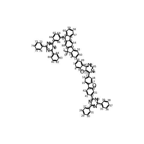 CC1(C)c2cc(-c3ccc4oc5c(-c6ccc7c(c6)oc6cc(-c8nc(-c9ccccc9)nc(-c9ccccc9)n8)ccc67)ncnc5c4c3)ccc2-c2cc3c4ccccc4n(-c4cccc(-c5nc(-c6ccccc6)nc(-c6ccccc6)n5)c4)c3cc21